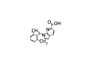 Cc1cccc(C)c1Cn1ccc2ccc(C(=O)O)nc21